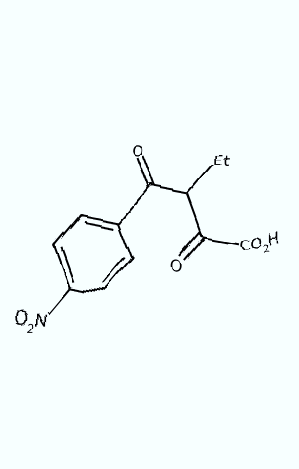 CCC(C(=O)C(=O)O)C(=O)c1ccc([N+](=O)[O-])cc1